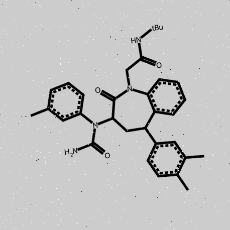 Cc1cccc(N(C(N)=O)C2CC(c3ccc(C)c(C)c3)c3ccccc3N(CC(=O)NC(C)(C)C)C2=O)c1